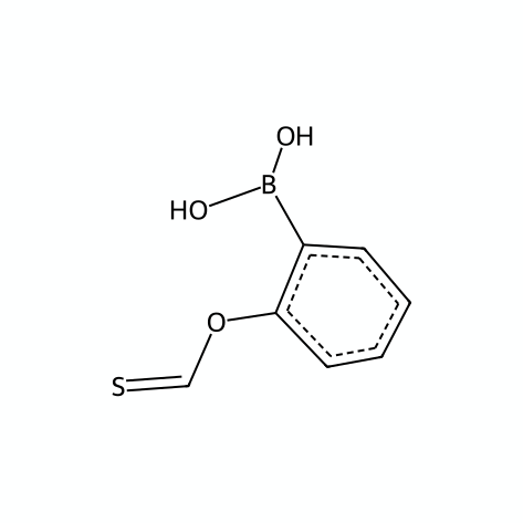 OB(O)c1ccccc1OC=S